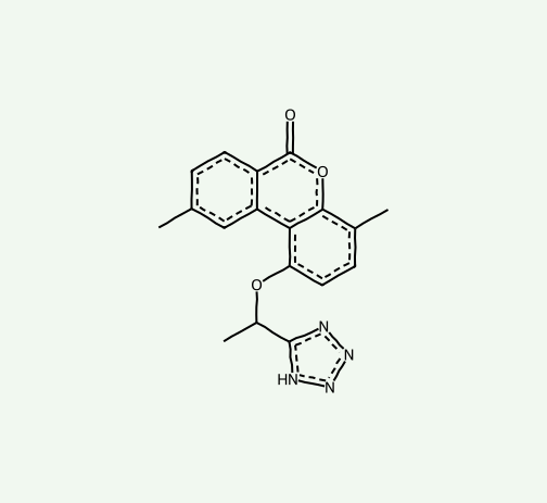 Cc1ccc2c(=O)oc3c(C)ccc(OC(C)c4nnn[nH]4)c3c2c1